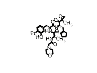 CCc1ccc(C[C@H](NC(=O)[C@H](C)NC(=O)CN2CCOCC2)C(=O)N[C@@H](CC2=CCCC2)C(=O)[C@@]2(C)CO2)cc1O